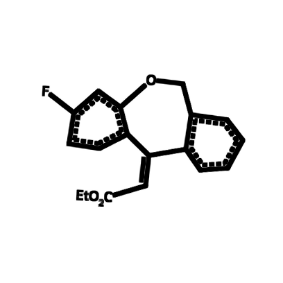 CCOC(=O)C=C1c2ccccc2COc2cc(F)ccc21